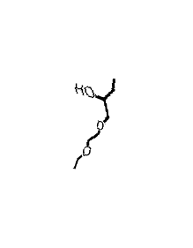 CCOCCOCC(O)CC